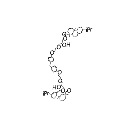 CC(C)C1=CC2=CCC3C(C)(C(=O)OCC(O)COCCOc4ccc(Cc5ccc(OCCOCC(O)COC(=O)C6(C)CCCC7(C)C8CCC(C(C)C)=CC8=CCC67)cc5)cc4)CCCC3(C)C2CC1